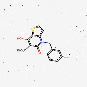 CCOC(=O)c1c(O)c2sccc2n(Cc2cccc(F)c2)c1=O